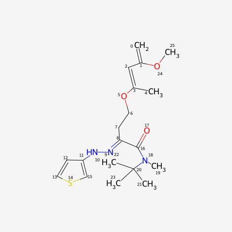 C=C(/C=C(\C)OCC/C(=N\Nc1ccsc1)C(=O)N(C)C(C)(C)C)OC